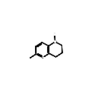 Cc1ccc2c(n1)CCC[S+]2[O-]